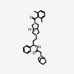 Cc1cccc(C)c1C(=O)N1CC2CN(CCC(NC(=O)CN3CC4CCC3C4)c3ccccc3)C[C@H]2C1